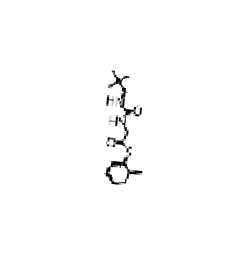 CC1CC=CC=C1SC(=O)CNC(=O)NCC(C)(C)C